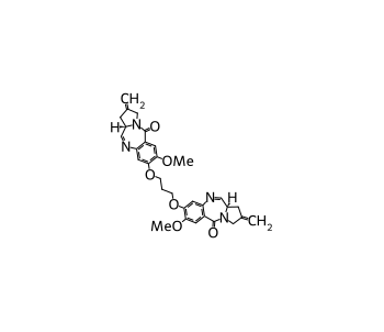 C=C1C[C@H]2C=Nc3cc(OCCCOc4cc5c(cc4OC)C(=O)N4CC(=C)C[C@H]4C=N5)c(OC)cc3C(=O)N2C1